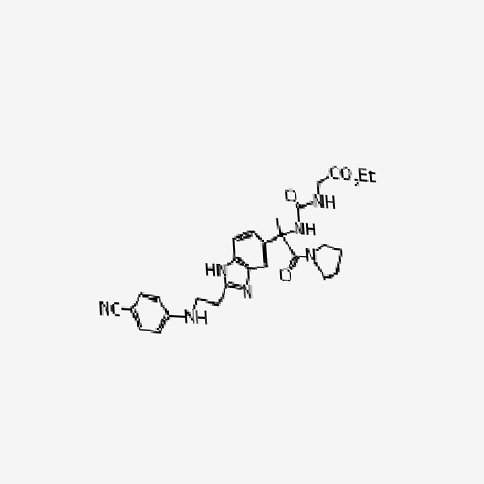 CCOC(=O)CNC(=O)NC(C)(C(=O)N1CCCC1)c1ccc2[nH]c(CCNc3ccc(C#N)cc3)nc2c1